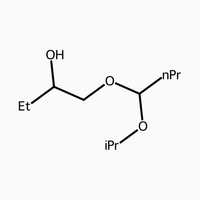 CCCC(OCC(O)CC)OC(C)C